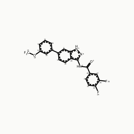 O=C(Nc1n[nH]c2cc(-c3cccc(OC(F)(F)F)c3)ccc12)c1ccc(F)c(F)c1